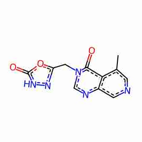 Cc1cncc2ncn(Cc3n[nH]c(=O)o3)c(=O)c12